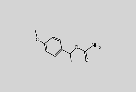 COc1ccc(C(C)OC(N)=O)cc1